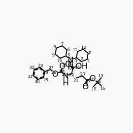 C1CCC(NC2CCCCC2)CC1.CC(C)(C)OC(=O)CC[C@H](NC(=O)OCc1ccccc1)C(=O)O